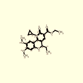 CCOC(=O)c1cc2c(n(C3CC3)c1=O)-c1cc(OC)c(OC)cc1OC2CC